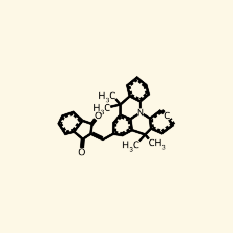 CC1(C)c2ccccc2N2c3ccccc3C(C)(C)c3cc(C=C4C(=O)c5ccccc5C4=O)cc1c32